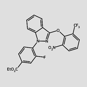 CCOC(=O)c1ccc(-n2nc(Oc3c([N+](=O)[O-])cccc3C(F)(F)F)c3ccccc32)c(F)c1